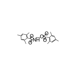 Cc1cc(C)c(S(=O)(=O)NCCOS(=O)(=O)c2c(C)cc(C)cc2C)c(C)c1